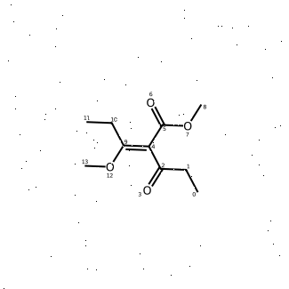 CCC(=O)/C(C(=O)OC)=C(/CC)OC